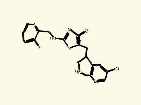 Fc1cccnc1CNc1nc(Cl)c(CC2CNc3ncc(Cl)cc32)s1